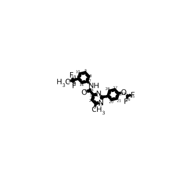 Cc1cc(C(=O)Nc2cccc(C(C)(F)F)c2)nc(-c2ccc(OC(F)F)cc2)n1